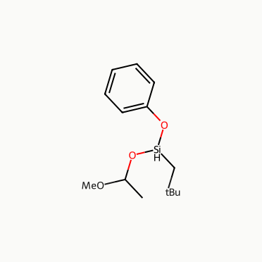 COC(C)O[SiH](CC(C)(C)C)Oc1ccccc1